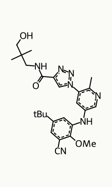 COc1c(C#N)cc(C(C)(C)C)cc1Nc1cnc(C)c(-n2cc(C(=O)NCC(C)(C)CO)nn2)c1